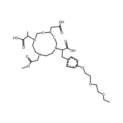 CCOCCOCCOc1ccc(CC(C(=O)O)N2CCN(CC(=O)O)CCN(C(C)C(=O)O)CCN(CC(=O)OC)CC2)cc1